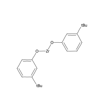 CC(C)(C)c1cccc([O][Zr][O]c2cccc(C(C)(C)C)c2)c1